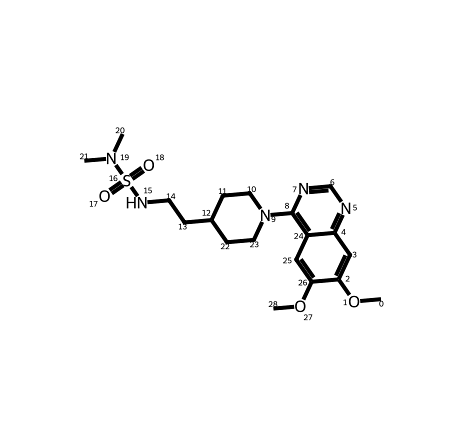 COc1cc2ncnc(N3CCC(CCNS(=O)(=O)N(C)C)CC3)c2cc1OC